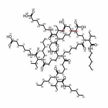 CCCCCNC(=O)C(C(C)C)N(CCCCCC(=O)O)C(=O)CCCCCN(C(=O)CCCC(=O)N(CCCCC)C(C(=O)NCCCCC)C(C)C)C(CCCC(=O)N(CCCCC)C(C(=O)NCCCCCC(=O)O)C(C)C)C(=O)NCCC(=O)N(CCCCCC(=O)O)C(C(=O)NCCCCCC(=O)O)C(C)C